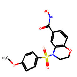 COc1ccc(S(=O)(=O)N2CCOc3ccc(C(=O)NO)cc32)cc1